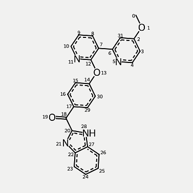 COc1ccnc(-c2cccnc2Oc2ccc(C(=O)c3nc4ccccc4[nH]3)cc2)c1